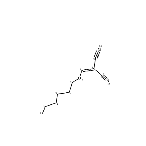 CCCCCCOC=C(C#N)C#N